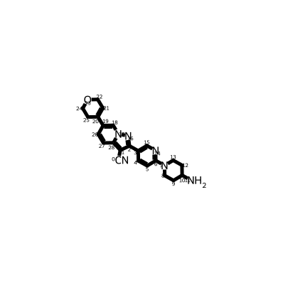 N#Cc1c(-c2ccc(N3CCC(N)CC3)nc2)nn2cc(C3=CCOCC3)ccc12